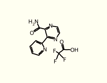 NC(=O)c1nccnc1-c1ccccn1.O=C(O)C(F)(F)F